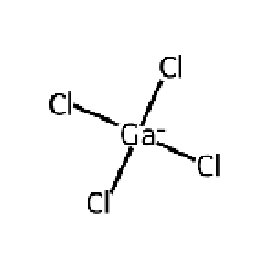 [Cl][Ga-]([Cl])([Cl])[Cl]